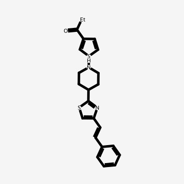 CCC(=O)C1=C[SH](N2CCC(c3nc(C=Cc4ccccc4)cs3)CC2)C=C1